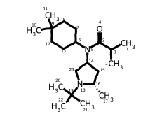 CC(C)C(=O)N(C1CCC(C)(C)CC1)[C@H]1C[C@H](C)N(C(C)(C)C)C1